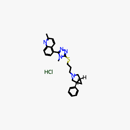 Cc1ccc2c(-c3nnc(SCCCN4C[C@@H]5C[C@]5(c5ccccc5)C4)n3C)cccc2n1.Cl